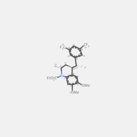 CCOC(=O)N1c2cc(OC)c(OC)cc2[C@H]([C@@H](F)c2cc(C(F)(F)F)cc(C(F)(F)F)c2)C[C@H]1C